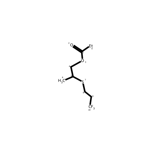 CCC(=O)OCC(C)SCCC(F)(F)F